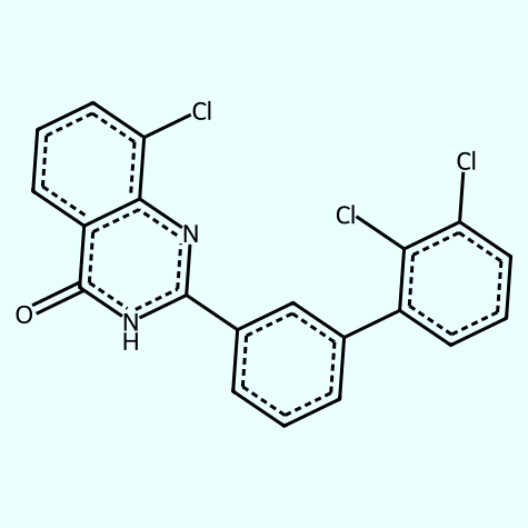 O=c1[nH]c(-c2cccc(-c3cccc(Cl)c3Cl)c2)nc2c(Cl)cccc12